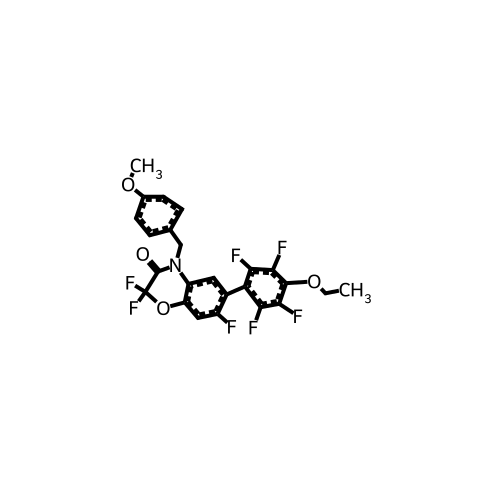 CCOc1c(F)c(F)c(-c2cc3c(cc2F)OC(F)(F)C(=O)N3Cc2ccc(OC)cc2)c(F)c1F